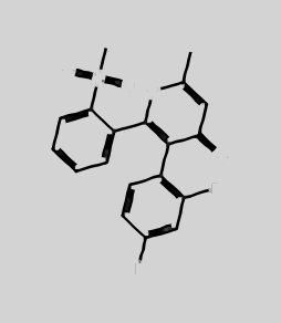 Cc1cc(=O)c(-c2ccc(F)cc2F)c(-c2ccccc2S(C)(=O)=O)o1